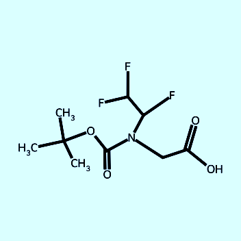 CC(C)(C)OC(=O)N(CC(=O)O)C(F)C(F)F